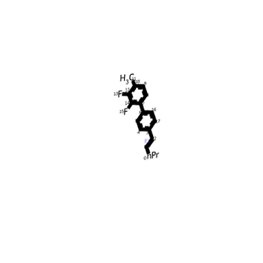 CCC/C=C/c1ccc(-c2ccc(C)c(F)c2F)cc1